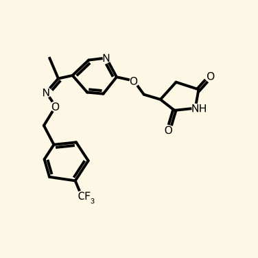 CC(=NOCc1ccc(C(F)(F)F)cc1)c1ccc(OCC2CC(=O)NC2=O)nc1